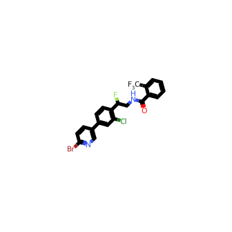 O=C(NCC(F)c1ccc(-c2ccc(Br)nc2)cc1Cl)c1ccccc1C(F)(F)F